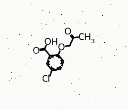 CC(=O)COc1ccc(Cl)cc1C(=O)O